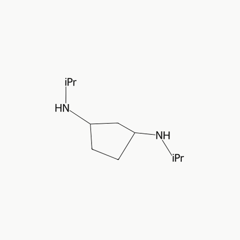 CC(C)NC1CCC(NC(C)C)C1